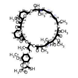 CO[C@@H]1C[C@H](C[C@@H](C)[C@@H]2CC(=O)[C@H](C)/C=C(\C)[C@@H](O)[C@@H](OC)C(=O)[C@H](C)C[C@H](C)/C=C/C=C/C=C(\C)[C@@H](O)C[C@@H]3CC[C@@H](C)[C@@](O)(O3)C(=O)C(=O)N3CCCC[C@H]3C(=O)O2)CC[C@H]1OP(C)(=O)CS